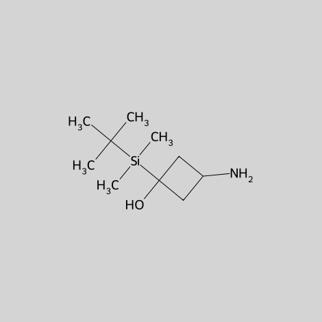 CC(C)(C)[Si](C)(C)C1(O)CC(N)C1